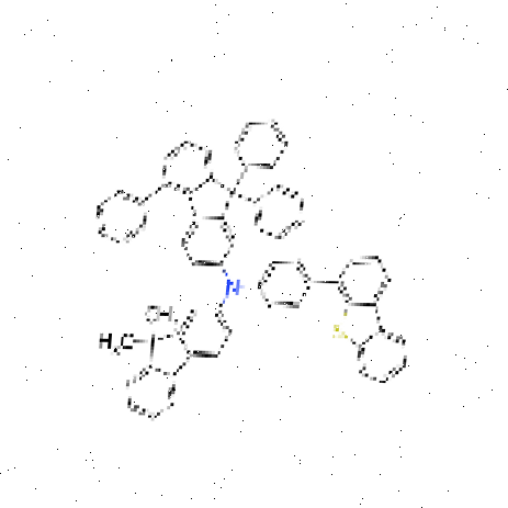 CC1(C)c2ccccc2-c2ccc(N(c3ccc(-c4cccc5c4sc4ccccc45)cc3)c3ccc4c(c3)C(c3ccccc3)(c3ccccc3)c3cccc(-c5ccccc5)c3-4)cc21